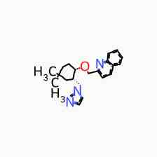 CC1(C)CC[C@@H](OCc2ccc3ccccc3n2)[C@H](Cn2ccnc2)C1